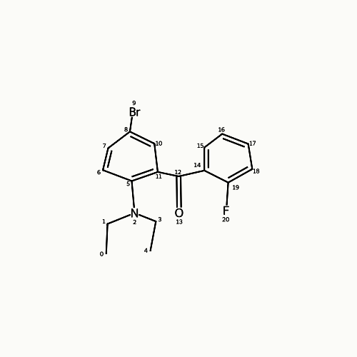 CCN(CC)c1ccc(Br)cc1C(=O)c1ccccc1F